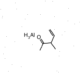 C=CC(C)C(C)=O.[AlH3]